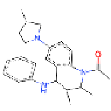 CC(=O)N1c2ccc(N3CCC(C)C3)cc2C(Nc2ccccc2)C(C)C1C